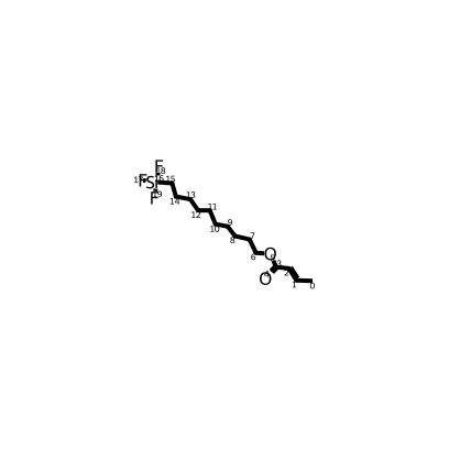 CC=CC(=O)OCCCCCCCCCC[Si](F)(F)F